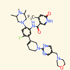 CC1CN(c2cc(F)c(C3=CCCN(c4ncc(CN5CCOCC5)cn4)C3)cc2NC(=O)c2c[nH]c(=O)cc2C(F)(F)F)CC(C)N1C